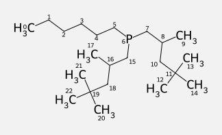 CCCCCCP(CC(C)CC(C)(C)C)CC(C)CC(C)(C)C